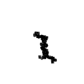 COc1nc(O[C@H]2CCc3c(-c4cccc(-c5nc6cc7c(c(C(F)(F)F)c6o5)CC[C@H]7N5CC[C@@H](C(=O)O)C5)c4Cl)cccc32)c(C(F)(F)F)nc1CNC[C@H]1CCC(=O)N1